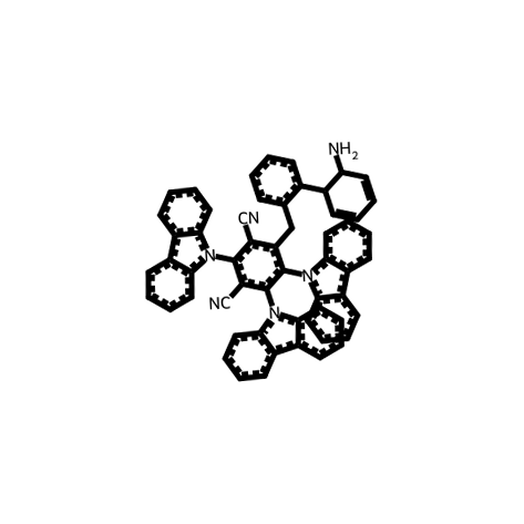 N#Cc1c(Cc2ccccc2C2C=CC=CC2N)c(-n2c3ccccc3c3ccccc32)c(-n2c3ccccc3c3ccccc32)c(C#N)c1-n1c2ccccc2c2ccccc21